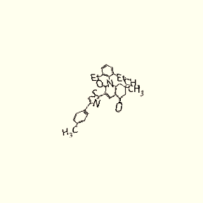 CCc1cccc(CC)c1-n1c2c(cc(-c3nc(-c4ccc(C)cc4)cs3)c1=O)C(=O)CC(C)(C)C2